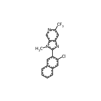 Cn1c(-c2cc3ccccc3cc2Cl)nc2cc(C(F)(F)F)ncc21